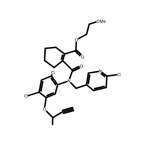 C#CC(C)Oc1cc(N(Cc2ccc(Cl)nc2)C(=O)C2=C(C(=O)OCCOC)CCCC2)c(Cl)cc1Cl